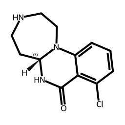 O=C1N[C@@H]2CCNCCN2c2cccc(Cl)c21